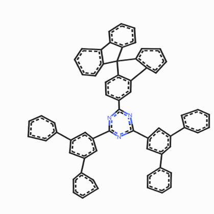 c1ccc(-c2cc(-c3ccccc3)cc(-c3nc(-c4cc(-c5ccccc5)cc(-c5ccccc5)c4)nc(-c4ccc5c(c4)-c4ccccc4C54c5ccccc5-c5ccccc54)n3)c2)cc1